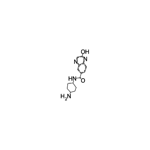 NC1CCC(NC(=O)c2ccc3nc(O)cnc3c2)CC1